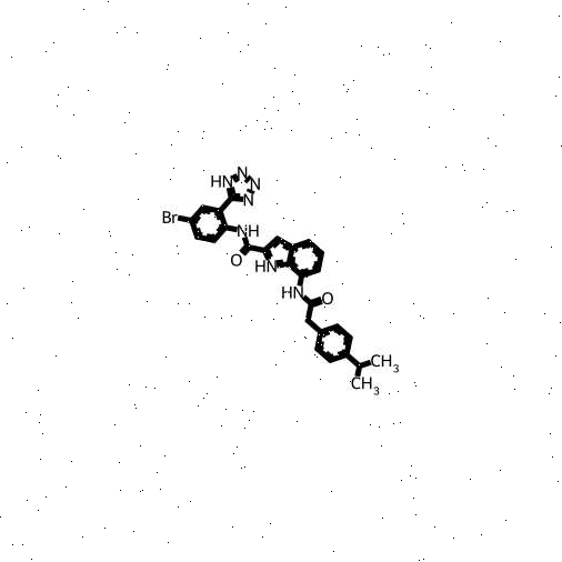 CC(C)c1ccc(CC(=O)Nc2cccc3cc(C(=O)Nc4ccc(Br)cc4-c4nnn[nH]4)[nH]c23)cc1